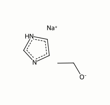 CC[O-].[Na+].c1c[nH]cn1